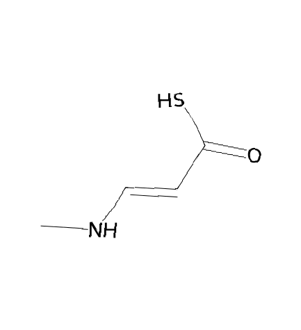 CN/C=C/C(=O)S